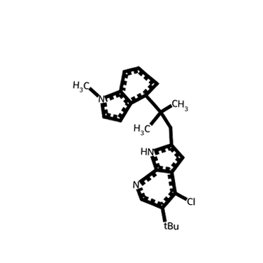 Cn1ccc2c(C(C)(C)Cc3cc4c(Cl)c(C(C)(C)C)cnc4[nH]3)cccc21